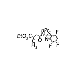 CCCN(C(=O)CC(C)C(=O)OCC)c1nc2c(F)c(F)cc(F)c2s1